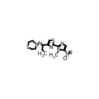 CC/C(=N\N1CCSCC1)c1csc(-c2ncc([N+](=O)[O-])n2C)n1